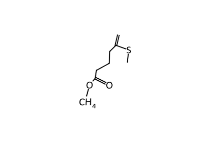 C.C=C(CCCC(=O)OC)SC